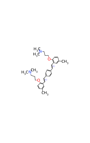 Cc1ccc(OCCCN(C)C)c(/C=C/c2ccc(/C=C/c3cc(C)ccc3OCCCN(C)C)cc2)c1